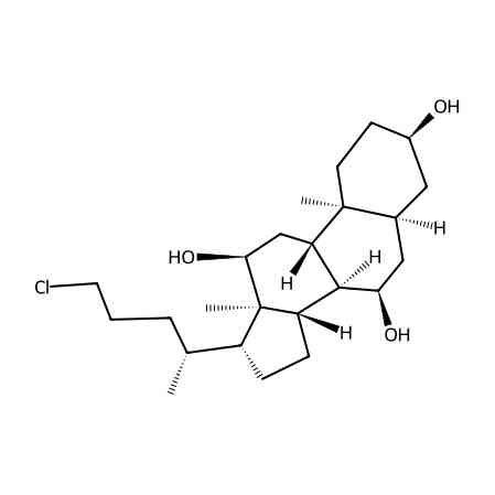 C[C@H](CCCCl)[C@H]1CC[C@H]2[C@@H]3[C@H](O)C[C@@H]4C[C@H](O)CC[C@]4(C)[C@H]3C[C@H](O)[C@]12C